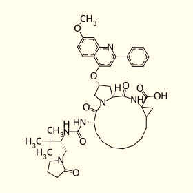 COc1ccc2c(O[C@@H]3C[C@H]4C(=O)N[C@]5(C(=O)O)CC5CCCCCCC[C@H](NC(=O)N[C@H](CN5CCCC5=O)C(C)(C)C)C(=O)N4C3)cc(-c3ccccc3)nc2c1